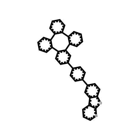 c1ccc2c(c1)-c1ccccc1-c1ccc(-c3ccc(-c4ccc5oc6ncccc6c5c4)cc3)cc1-c1ccccc1-2